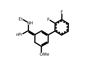 CCC/C(NCC)=C1/C=C(c2cccc(F)c2F)C=C(OC)C1